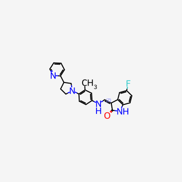 Cc1cc(N/C=C2\C(=O)Nc3ccc(F)cc32)ccc1N1CCC(c2ccccn2)C1